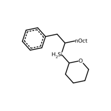 CCCCCCCCC(Cc1ccccc1)[SiH2]C1CCCCO1